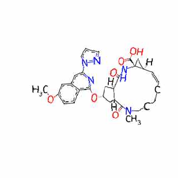 COc1ccc2c(O[C@@H]3C[C@H]4C(=O)N[C@]5(C(=O)O)C[C@H]5/C=C\CCCCN(C)C(=O)[C@@H]4C3)nc(-n3cccn3)cc2c1